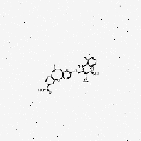 C/C1=C/c2ccc(C(=O)O)cc2Oc2ccc(OC/C(Nc3c(C)cccc3Cl)=C(/C=N)C3CC3)nc2C1